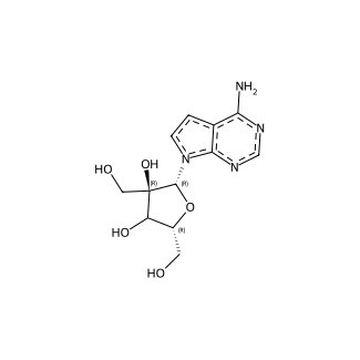 Nc1ncnc2c1ccn2[C@@H]1O[C@H](CO)C(O)[C@]1(O)CO